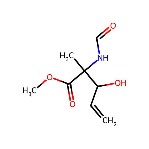 C=CC(O)C(C)(NC=O)C(=O)OC